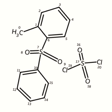 Cc1ccccc1S(=O)(=O)c1ccccc1.O=S(=O)(Cl)Cl